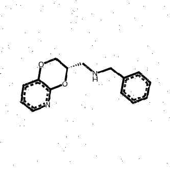 c1ccc(CNC[C@H]2COc3cccnc3O2)cc1